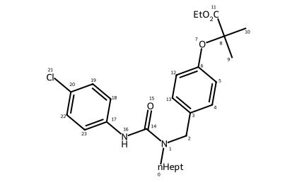 CCCCCCCN(Cc1ccc(OC(C)(C)C(=O)OCC)cc1)C(=O)Nc1ccc(Cl)cc1